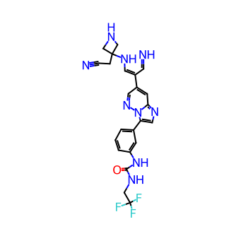 N#CCC1(N/C=C(\C=N)c2cnn3c(-c4cccc(NC(=O)NCC(F)(F)F)c4)cnc3c2)CNC1